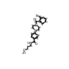 CCOCCCNC(=O)c1ccc(N2CCN(C(=O)c3ccccc3Br)CC2)nc1